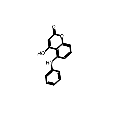 O=c1cc(O)c2c(Nc3ccccc3)cccc2o1